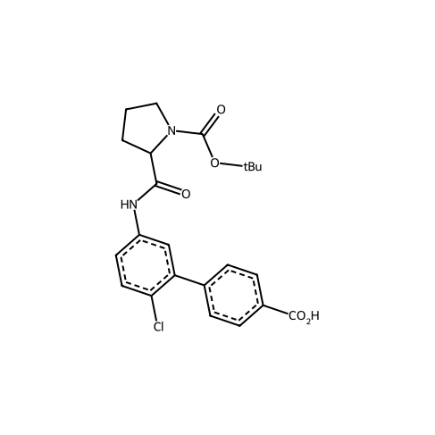 CC(C)(C)OC(=O)N1CCCC1C(=O)Nc1ccc(Cl)c(-c2ccc(C(=O)O)cc2)c1